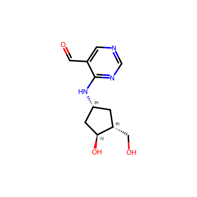 O=Cc1cncnc1N[C@@H]1C[C@H](CO)[C@@H](O)C1